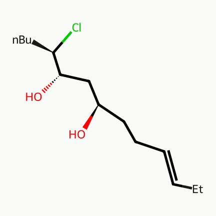 CC/C=C/CC[C@@H](O)C[C@H](O)[C@H](Cl)CCCC